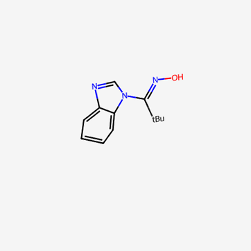 CC(C)(C)/C(=N\O)n1cnc2ccccc21